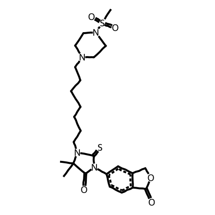 CC1(C)C(=O)N(c2ccc3c(c2)COC3=O)C(=S)N1CCCCCCCN1CCN(S(C)(=O)=O)CC1